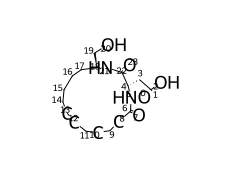 O=C(O)C[C@@H]1NC(=O)CCCCCCCCCC[C@@H](CO)NC1=O